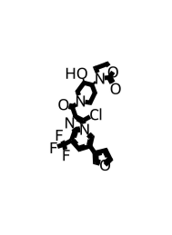 O=C(c1nc2c(C(F)(F)F)cc(-c3ccoc3)cn2c1Cl)N1CC[C@H](N2CCOC2=O)[C@@H](O)C1